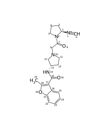 C#[N+][C@@H]1CCCN1C(=O)CN1CC[C@H](NC(=O)c2c(C)oc3ccccc23)C1